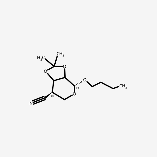 CCCCO[C@@H]1OC[C@@H](C#N)C2OC(C)(C)OC21